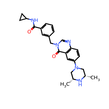 C[C@@H]1CN(c2ccc3ncn(Cc4cccc(C(=O)NC5CC5)c4)c(=O)c3c2)C[C@H](C)N1